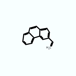 C=Cc1ccc2ccc3ccccc3c2c1